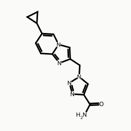 NC(=O)c1cn(Cc2cn3cc(C4CC4)ccc3n2)nn1